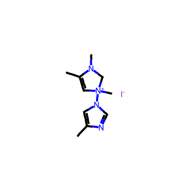 CC1=C[N+](C)(n2cnc(C)c2)CN1C.[I-]